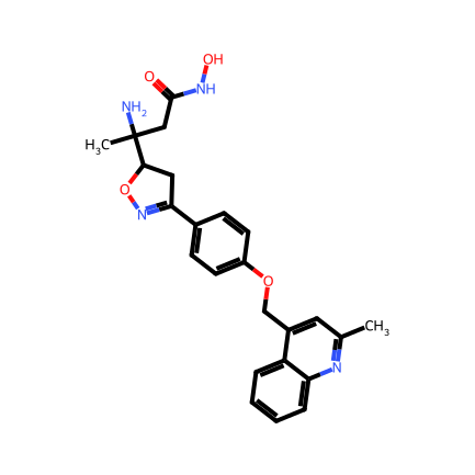 Cc1cc(COc2ccc(C3=NOC(C(C)(N)CC(=O)NO)C3)cc2)c2ccccc2n1